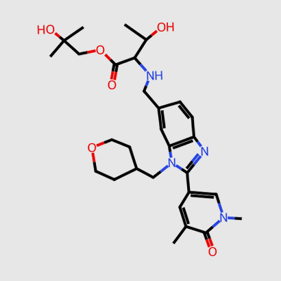 Cc1cc(-c2nc3ccc(CNC(C(=O)OCC(C)(C)O)C(C)O)cc3n2CC2CCOCC2)cn(C)c1=O